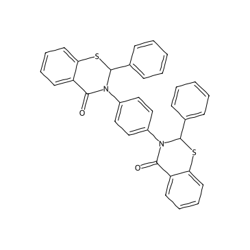 O=C1c2ccccc2SC(c2ccccc2)N1c1ccc(N2C(=O)c3ccccc3SC2c2ccccc2)cc1